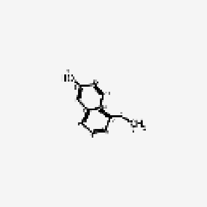 CCc1cccc2cc(O)ccc12